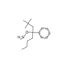 CCCCC(CC(C)(C)C)(O[SiH3])c1ccccc1